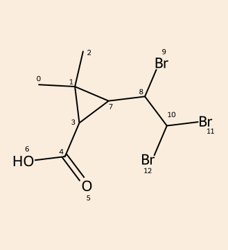 CC1(C)C(C(=O)O)C1C(Br)C(Br)Br